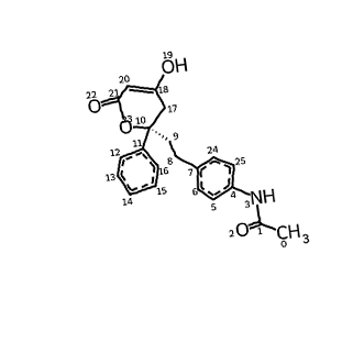 CC(=O)Nc1ccc(CC[C@@]2(c3ccccc3)CC(O)=CC(=O)O2)cc1